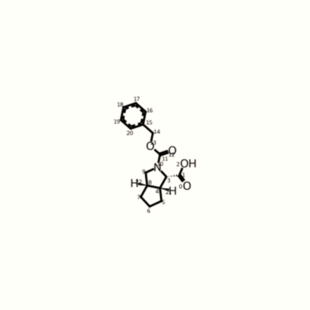 O=C(O)[C@@H]1[C@@H]2CCC[C@@H]2CN1C(=O)OCc1ccccc1